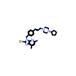 CCc1nc2c(C)cc(C)nc2n1Cc1ccc(C=CCN2CCN(C3CCCC3)CC2)cc1